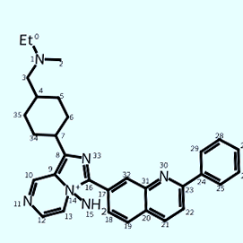 CCN(C)CC1CCC(C2=C3C=NC=C[N+]3(N)C(c3ccc4ccc(-c5ccccc5)nc4c3)=N2)CC1